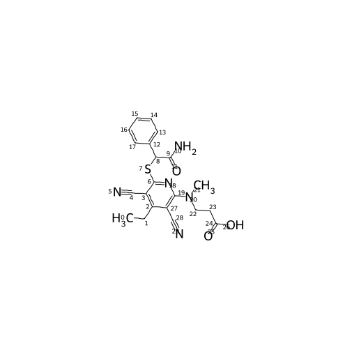 CCc1c(C#N)c(SC(C(N)=O)c2ccccc2)nc(N(C)CCC(=O)O)c1C#N